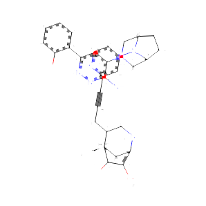 Nc1nnc(-c2ccccc2O)cc1N1CC2CCC(C1)N2c1ccnc(C#CCC2CNC3=C(O)C(O)[C@H]2C3)c1